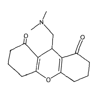 CN(C)CC1C2=C(CCCC2=O)OC2=C1C(=O)CCC2